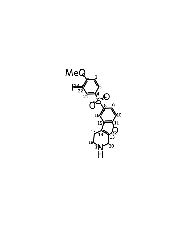 COc1ccc(S(=O)(=O)c2ccc3oc4c(c3c2)CCNC4)cc1F